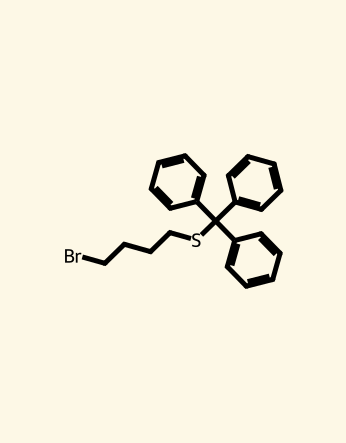 BrCCCCSC(c1ccccc1)(c1ccccc1)c1ccccc1